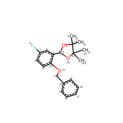 CC1(C)OB(c2cc(F)ccc2OCc2ccccc2)OC1(C)C